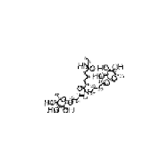 CCNC(=O)CCCCC(=O)N(CCCCO[C@@H]1O[C@@H](C)[C@@H](O)[C@@H](O)[C@@H]1O)CCCCO[C@@H]1O[C@@H](C)[C@@H](O)[C@@H](O)[C@@H]1O